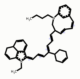 CCCCN1CC(/C=C/C=C(/C=C/C=c2\c3c4c(n2CC)C=CCC4C=CC=3)C2CC=CCC2)/C=C/C=C\c2cccc1c2